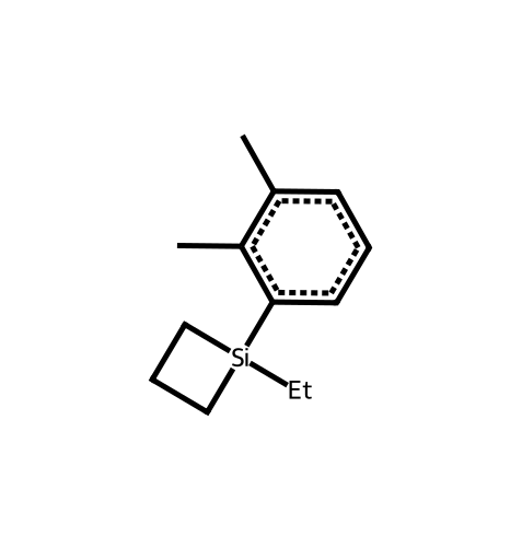 CC[Si]1(c2cccc(C)c2C)CCC1